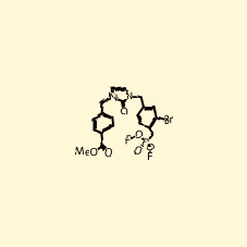 COC(=O)c1ccc(Cn2ccn(Cc3ccc(CP(=O)(OF)OF)c(Br)c3)c2=O)cc1